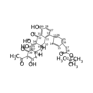 CC(=O)C1=C(O)C[C@@H]2C[C@@H]3Cc4c(-c5ccc(CC(=O)OC(C)(C)C)cc5)ccc(O)c4C(=O)C3=C(O)[C@]2(O)C1=O